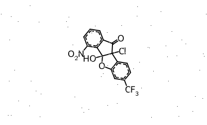 O=C1c2cccc([N+](=O)[O-])c2C2(O)Oc3cc(C(F)(F)F)ccc3C12Cl